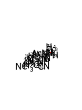 CC(=O)NC1[C@@H]2CC[C@H]1CN(c1nnc(-c3cnc(-c4ccc5cc(C#N)cnn45)cc3N[C@H](C)C#N)s1)C2